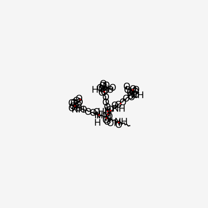 CCCCCCCC(=O)NCCCC[C@H](NC(=O)[C@H](CCCCNC(=O)COCCOCCOCCOC1O[C@H](COC(C)=O)[C@H](OC(C)=O)[C@H](OC(C)=O)[C@H]1NC(C)=O)NC(=O)[C@H](CCCCNC(=O)COCCOCCOCCO[C@@H]1O[C@H](COC(C)=O)[C@H](OC(C)=O)[C@H](OC(C)=O)[C@H]1NC(C)=O)NC(=O)COCCOCCOCCO[C@@H]1O[C@H](COC(C)=O)[C@H](OC(C)=O)[C@H](OC(C)=O)[C@H]1NC(C)=O)C(=O)O